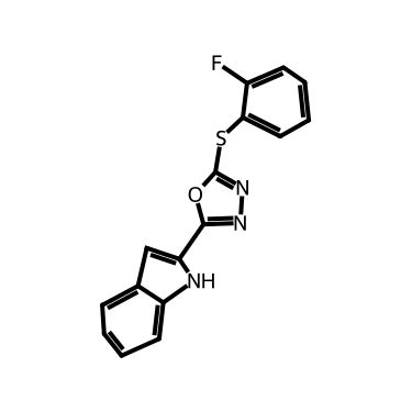 Fc1ccccc1Sc1nnc(-c2cc3ccccc3[nH]2)o1